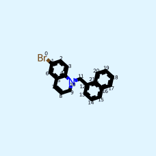 Brc1ccc2c(c1)C=CCN2Cc1cccc2ccccc12